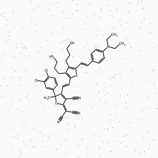 CCN(CC)c1ccc(/C=C/c2sc(/C=C/C3=C(C#N)C(=C(C#N)C#N)OC3(C)c3ccc(Cl)c(Cl)c3)c(CCCS)c2CCCS)cc1